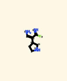 N=C(F)/C(=C\N)C1CCNC1